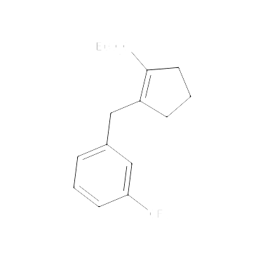 CCOC(=O)C1=C(Cc2cccc(C(F)(F)F)c2)CCC1